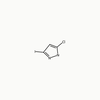 ClC1=CC(I)=N[N]1